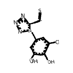 Oc1cc(-n2nnnc2[C]=S)cc(Cl)c1O